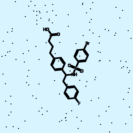 O=C(O)CCCc1ccc(C(Cc2ccc(F)cc2)NS(=O)(=O)c2ccc(Br)cc2)cc1